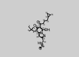 CC(C)(C)Cn1c(=O)c(C(=O)CCCC2CC2)c(O)n2nc(CNN=O)cc12